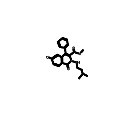 COC(=O)c1c(-c2ccccc2)c2cc(Cl)ccc2c(=O)n1NCCC(C)C